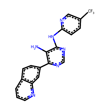 Nc1c(Nc2ccc(C(F)(F)F)cn2)ncnc1-c1ccc2cccnc2c1